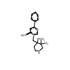 CC1(C)CNCCC1(O)Cn1cnc(-c2ccccc2)cc1=O.Cl